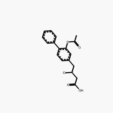 CC(=O)Oc1cc(CC(Cl)CC(=O)O)ccc1-c1ccccc1